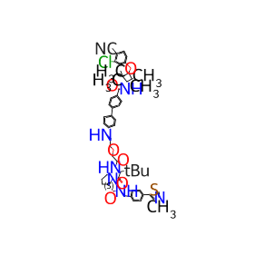 Cc1ncsc1-c1ccc(CNC(=O)[C@@H]2CCCN2C(=O)C(NC(=O)COCCNc2ccc(-c3ccc(C(=O)NC4C(C)(C)C(Oc5ccc(C#N)c(Cl)c5)C4(C)C)cc3)cc2)C(C)(C)C)cc1